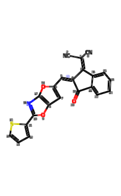 N#CC(C#N)=C1/C(=C/c2cc3oc(-c4cccs4)nc3o2)C(=O)c2ccccc21